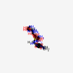 C=C(NCCSCC1OC(OC[C@H](O)C(N)CC(N)[C@H](C)OC2OC(CN)C(O)C(O)C2N)C(O)C1O[C@H]1O[C@@H](CN)C(O)C(O)C1N)NCSN1C(=O)c2ccc3c4c(ccc(c24)C1=O)C(=O)N(CCN(C)C)C3=O